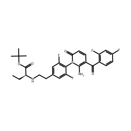 CC[C@H](NCCc1cc(F)c(-n2c(N)c(C(=O)c3ccc(F)cc3F)ccc2=O)c(F)c1)C(=O)OC(C)(C)C